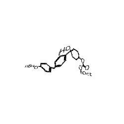 CCCCCCCCOC(=O)OC1CCC(O)(c2ccc(-c3ccc(OCCCC)cc3)cc2)CC1